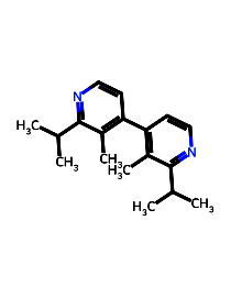 Cc1c(-c2ccnc(C(C)C)c2C)ccnc1C(C)C